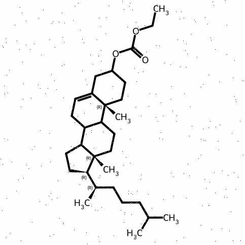 CCOC(=O)OC1CC[C@@]2(C)C(=CCC3C2CC[C@@]2(C)C3CC[C@@H]2[C@H](C)CCCC(C)C)C1